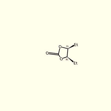 CC[C@@H]1OC(=O)O[C@@H]1CC